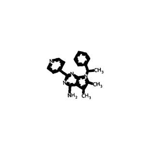 Cc1c(C)n(C(C)c2ccccc2)c2nc(-c3ccncc3)nc(N)c12